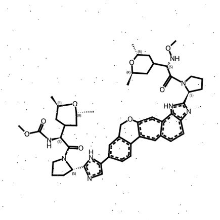 CON[C@H](C(=O)N1CCC[C@H]1c1nc2ccc3cc4c(cc3c2[nH]1)OCc1cc(-c2cnc([C@@H]3CCCN3C(=O)[C@@H](NC(=O)OC)C3C[C@@H](C)O[C@H](C)C3)[nH]2)ccc1-4)C1C[C@@H](C)O[C@H](C)C1